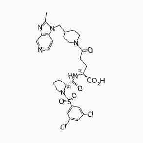 Cc1nc2cnccc2n1CC1CCN(C(=O)CC[C@H](NC(=O)[C@H]2CCCN2S(=O)(=O)c2cc(Cl)cc(Cl)c2)C(=O)O)CC1